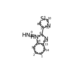 [NaH].c1ccc2[nH]c(-c3cscn3)nc2c1